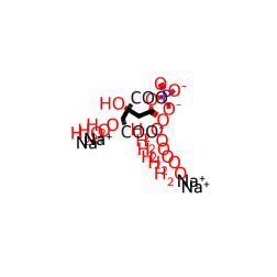 O.O.O.O.O.O.O.O.O.O=C([O-])CC(O)(CC(=O)OP(=O)([O-])[O-])C(=O)[O-].[Na+].[Na+].[Na+].[Na+]